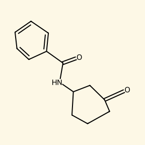 O=C1CCCC(NC(=O)c2ccccc2)C1